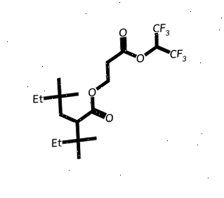 CCC(C)(C)CC(C(=O)OCCC(=O)OC(C(F)(F)F)C(F)(F)F)C(C)(C)CC